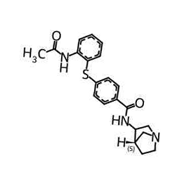 CC(=O)Nc1ccccc1Sc1ccc(C(=O)NC2CN3CC[C@H]2C3)cc1